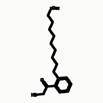 CCCCCCCCCCCCCCCCCCCc1ccccc1C(=O)CS